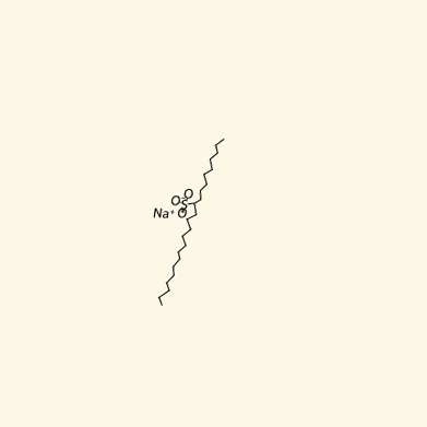 CCCCCCCCCCCCCC(CCCCCCCCC)S(=O)(=O)[O-].[Na+]